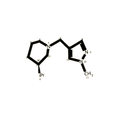 CC(C)[C@H]1CCCN(Cc2cnn(C)c2)C1